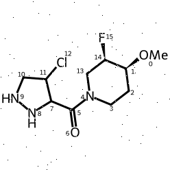 CO[C@H]1CCN(C(=O)C2NNCC2Cl)C[C@H]1F